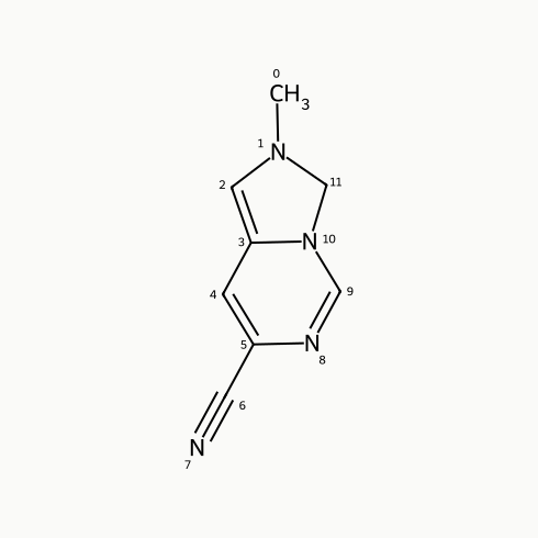 CN1C=C2C=C(C#N)N=CN2C1